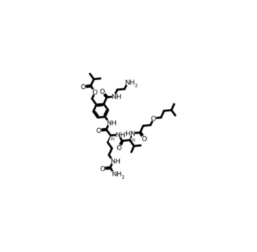 CC(C)CCOCCC(=O)N[C@H](C(=O)N[C@@H](CCCNC(N)=O)C(=O)Nc1ccc(COC(=O)C(C)C)c(C(=O)NCCN)c1)C(C)C